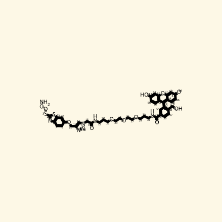 NOOSc1nc2ccc(OCc3cn(CC(=O)NCCCOCCOCCOCCCNC(=O)c4ccc(C(=O)O)c(-c5c6ccc(=O)cc-6oc6cc(O)ccc56)c4)nn3)cc2s1